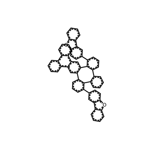 c1ccc2c(c1)-c1cccc(-c3ccc4oc5ccccc5c4c3)c1-c1cc3c4ccccc4c4ccccc4c3cc1-c1cccc(-c3ccc4oc5ccccc5c4c3)c1-2